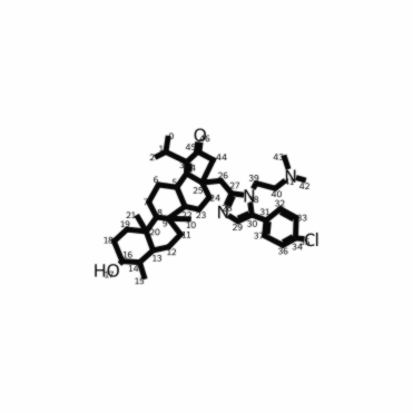 CC(C)C1=C2C3CCC4C(C)(CCC5C(C)C(O)CCC54C)C3CCC2(Cc2ncc(-c3ccc(Cl)cc3)n2CCN(C)C)CC1=O